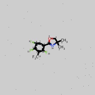 CC1(C)COC(c2cc(F)c(F)c(C(F)(F)F)c2F)=N1